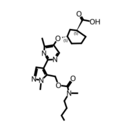 CCCCN(C)C(=O)OCc1c(-c2ncc(O[C@H]3CCC[C@H](C(=O)O)C3)c(C)n2)cnn1C